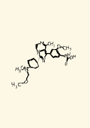 COCCN(C)[C@H]1CC[C@H](c2nc(-c3ccc(NC(=O)O)c(OC)c3)c3c(C)nccn32)CC1